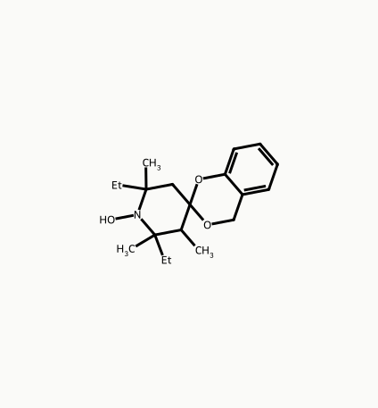 CCC1(C)CC2(OCc3ccccc3O2)C(C)C(C)(CC)N1O